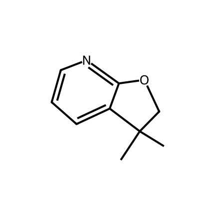 CC1(C)COc2ncccc21